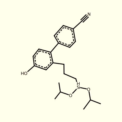 CC(C)O[SiH](CCCc1cc(O)ccc1-c1ccc(C#N)cc1)OC(C)C